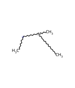 CCCCCCCC/C=C\CCCCCCCCN(CCCCC)CCCCCCCCCCCCCCCC